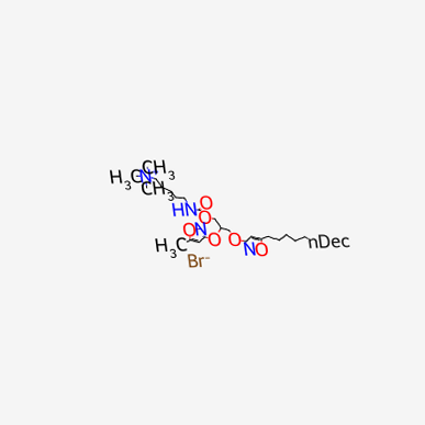 CCCCCCCCCCCCCCCc1cc(OCC(COC(=O)NCCCCC[N+](C)(C)C)Oc2cc(C)on2)no1.[Br-]